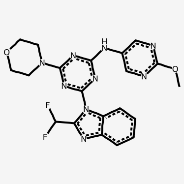 COc1ncc(Nc2nc(N3CCOCC3)nc(-n3c(C(F)F)nc4ccccc43)n2)cn1